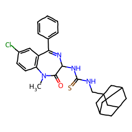 CN1C(=O)C(NC(=S)NCC23CC4CC(CC(C4)C2)C3)N=C(c2ccccc2)c2cc(Cl)ccc21